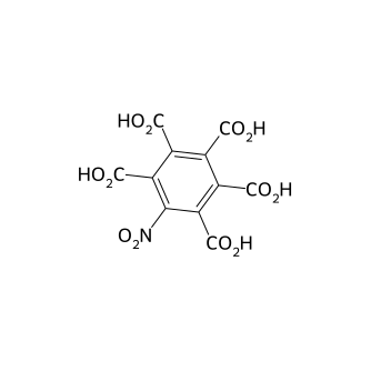 O=C(O)c1c(C(=O)O)c(C(=O)O)c([N+](=O)[O-])c(C(=O)O)c1C(=O)O